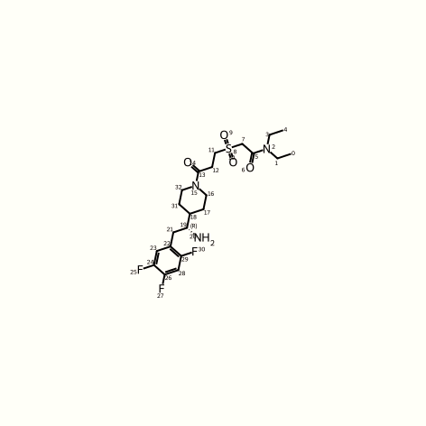 CCN(CC)C(=O)CS(=O)(=O)CCC(=O)N1CCC([C@H](N)Cc2cc(F)c(F)cc2F)CC1